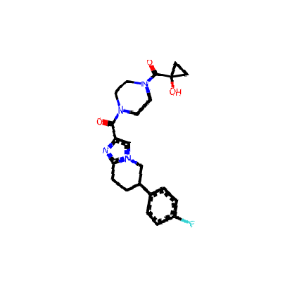 O=C(c1cn2c(n1)CCC(c1ccc(F)cc1)C2)N1CCN(C(=O)C2(O)CC2)CC1